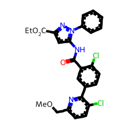 CCOC(=O)c1cc(NC(=O)c2cc(-c3nc(COC)ccc3Cl)ccc2Cl)n(-c2ccccc2)n1